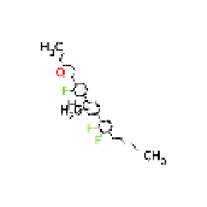 C=C/C=C(\C=C/C(C)c1ccc(C2CCC(/C=C/C)OC2)c(F)c1)c1ccc(CCCCCCC)c(F)c1F